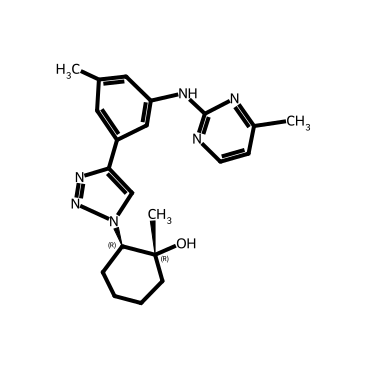 Cc1cc(Nc2nccc(C)n2)cc(-c2cn([C@@H]3CCCC[C@@]3(C)O)nn2)c1